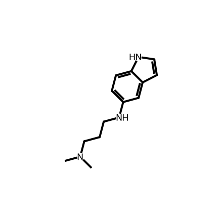 CN(C)CCCNc1ccc2[nH]ccc2c1